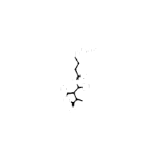 CCCCCCCCCCCCCC(=O)OC(CC)C1C(=O)OC(=O)C1C